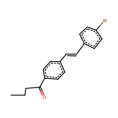 CCCC(=O)c1ccc(C=Cc2ccc(Br)cc2)cc1